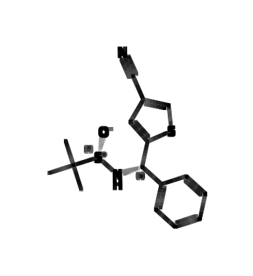 CC(C)(C)[S@+]([O-])N[C@@H](c1ccccc1)c1cc(C#N)cs1